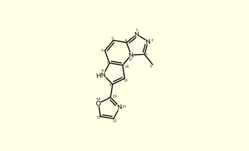 Cc1nnc2ccc3[nH]c(-c4ncco4)cc3n12